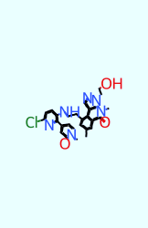 Cc1cc(CCNc2ccc(Cl)nc2-c2ccn(C)c(=O)c2)c2c(c1)c(=O)n(C)c1c2cnn1CCO